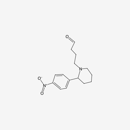 O=CCCCN1CCCCC1c1ccc([N+](=O)[O-])cc1